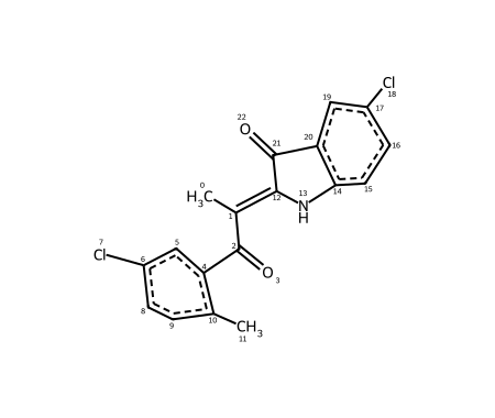 C/C(C(=O)c1cc(Cl)ccc1C)=C1/Nc2ccc(Cl)cc2C1=O